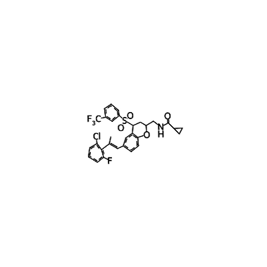 CC(=Cc1ccc2c(c1)C(S(=O)(=O)c1cccc(C(F)(F)F)c1)CC(CNC(=O)C1CC1)O2)c1c(F)cccc1Cl